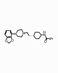 CC(C)C(=O)N[C@H]1CC[C@H](CCN2CCN(c3cccc4c3OCO4)CC2)CC1